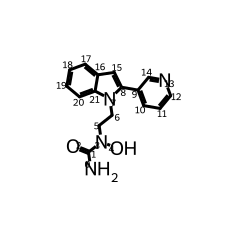 NC(=O)N(O)CCn1c(-c2cccnc2)cc2ccccc21